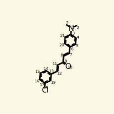 CN(C)c1ccc(C=CC(=O)C=Cc2cccc(Cl)c2)cc1